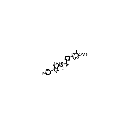 COC(=O)C(C)NC(=O)c1cccc(C2(NC(=O)c3cncc4c3cnn4-c3ccc(F)cc3)CC2)c1